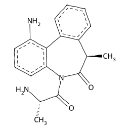 C[C@H](N)C(=O)N1C(=O)[C@H](C)c2ccccc2-c2c(N)cccc21